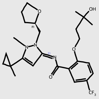 Cn1c(C2(C)CC2)c/c(=N\C(=O)c2cc(C(F)(F)F)ccc2OCCC(C)(C)O)n1C[C@H]1CCCO1